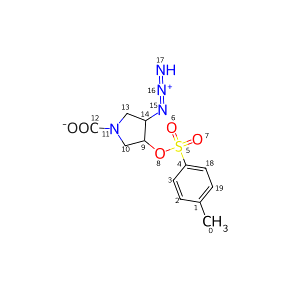 Cc1ccc(S(=O)(=O)OC2CN(C(=O)[O-])CC2N=[N+]=N)cc1